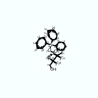 O=S(=O)(OS(c1ccccc1)(c1ccccc1)c1ccccc1)C(F)(F)C(F)(F)CO